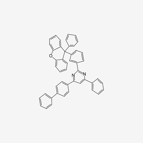 c1ccc(-c2ccc(-c3cc(-c4ccccc4)nc(-c4cccc(C5(c6ccccc6)c6ccccc6Oc6ccccc65)c4)n3)cc2)cc1